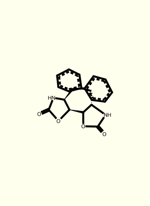 O=C1N[C@@H](Cc2ccccc2)C([C@H]2OC(=O)N[C@H]2Cc2ccccc2)O1